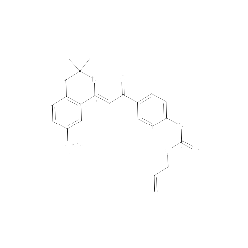 C=CCOC(=O)Nc1ccc(C(=O)C=C2NC(C)(C)Cc3ccc(OC)cc32)cc1